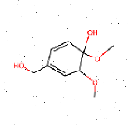 COC1C=C(CO)C=CC1(O)OC